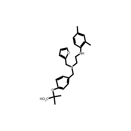 Cc1ccc(NCCN(Cc2ccc(OC(C)(C)C(=O)O)cc2)Cc2ccco2)c(C)c1